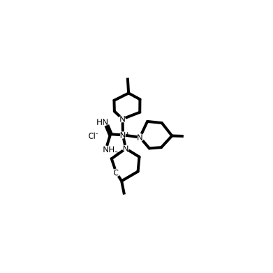 CC1CCN([N+](C(=N)N)(N2CCC(C)CC2)N2CCC(C)CC2)CC1.[Cl-]